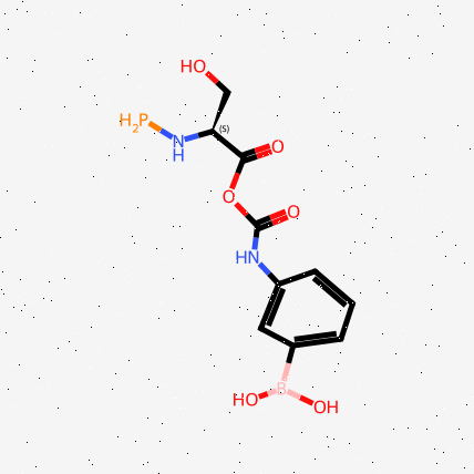 O=C(Nc1cccc(B(O)O)c1)OC(=O)[C@H](CO)NP